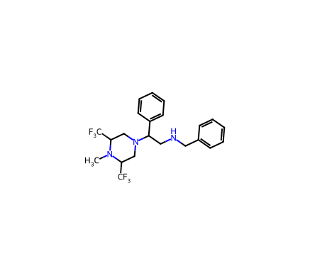 CN1C(C(F)(F)F)CN(C(CNCc2ccccc2)c2ccccc2)CC1C(F)(F)F